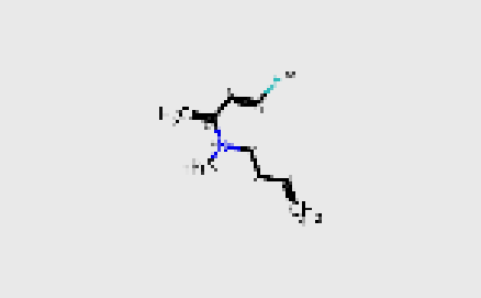 C=CCCN(CCC)C(=C)/C=C/F